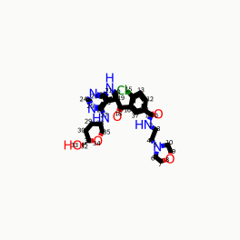 O=C(NCCN1CCOCC1)c1ccc(Cl)c(C(=O)c2c[nH]c3ncnc(N[C@@H]4CC[C@@H](CO)OC4)c23)c1